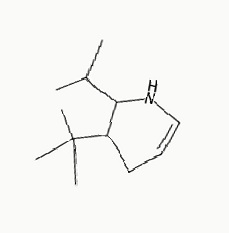 CC(C)C1NC=CCC1C(C)(C)C